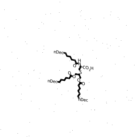 CCCCCCCCCCCCCCCC(=O)N[C@@H](CSC(COC(=O)CCCCCCCCCCCCCCC)COC(=O)CCCCCCCCCCCCCCC)C(=O)O